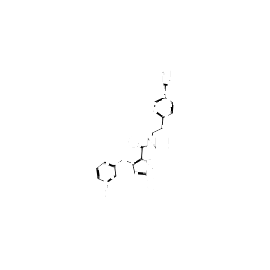 N#Cc1ccc(CCNC(=O)c2sc(Cl)cc2Cc2cccc(Cl)c2)cc1